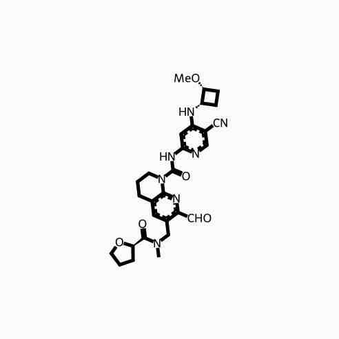 CO[C@@H]1CC[C@@H]1Nc1cc(NC(=O)N2CCCc3cc(CN(C)C(=O)[C@H]4CCCO4)c(C=O)nc32)ncc1C#N